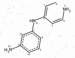 C/C=C(\C=C/N)Nc1cccc(N)c1